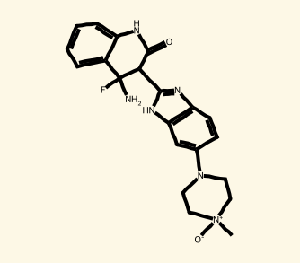 C[N+]1([O-])CCN(c2ccc3nc(C4C(=O)Nc5ccccc5C4(N)F)[nH]c3c2)CC1